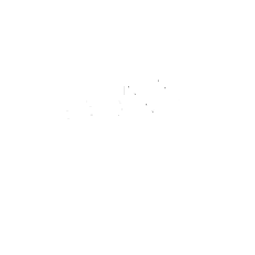 O=C(Cc1cccc(OC(F)(F)F)c1)Nc1ncc(Br)cn1